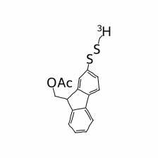 [3H]CSSc1ccc2c(c1)C(COC(C)=O)c1ccccc1-2